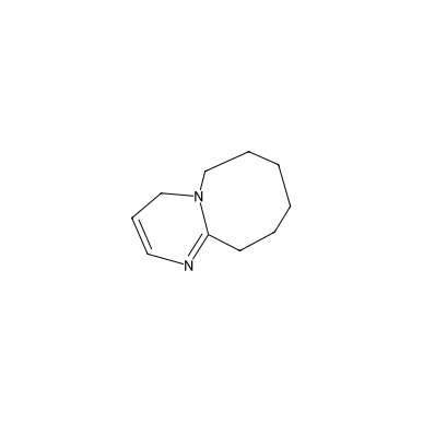 C1=CN=C2CCCCCCN2C1